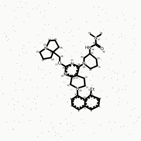 CCc1cccc2cccc(N3CCc4c(nc(OCC56CCCN5CCC6)nc4N4CCCC(NC(=O)N(C)C)C4)C3)c12